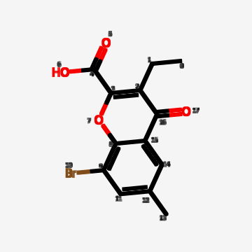 CCc1c(C(=O)O)oc2c(Br)cc(C)cc2c1=O